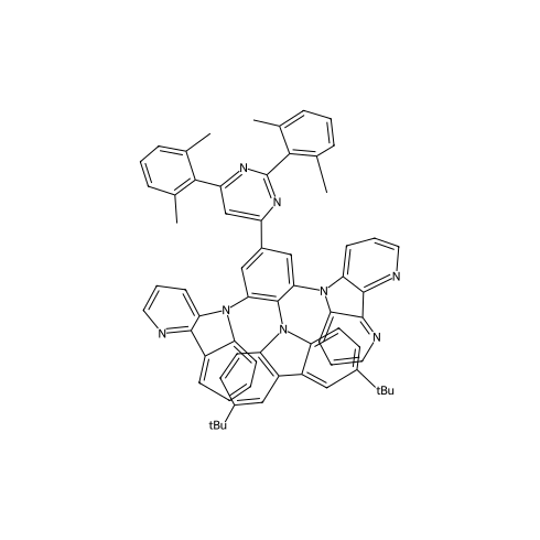 Cc1cccc(C)c1-c1cc(-c2cc(-n3c4ccccc4c4ncccc43)c(-n3c4ccc(C(C)(C)C)cc4c4cc(C(C)(C)C)ccc43)c(-n3c4cccnc4c4ncccc43)c2)nc(-c2c(C)cccc2C)n1